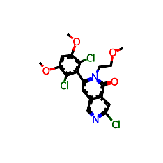 COCCn1c(-c2c(Cl)c(OC)cc(OC)c2Cl)cc2cnc(Cl)cc2c1=O